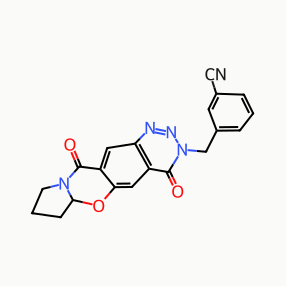 N#Cc1cccc(Cn2nnc3cc4c(cc3c2=O)OC2CCCN2C4=O)c1